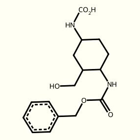 O=C(O)NC1CCC(NC(=O)OCc2ccccc2)C(CO)C1